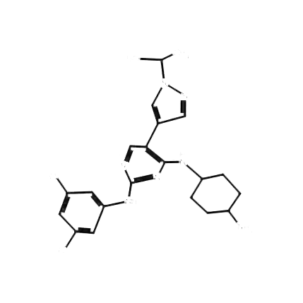 CC(O)n1cc(-c2cnc(Nc3cc(Cl)cc(Cl)c3)nc2NC2CCC(N)CC2)cn1